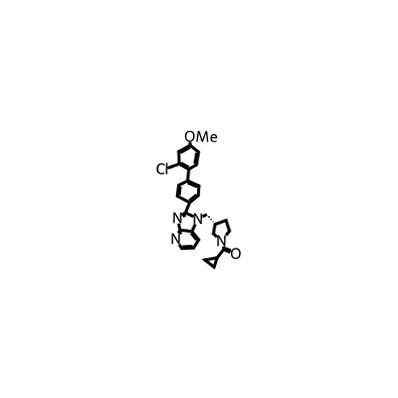 COc1ccc(-c2ccc(-c3nc4ncccc4n3C[C@@H]3CCN(C(=O)C4CC4)C3)cc2)c(Cl)c1